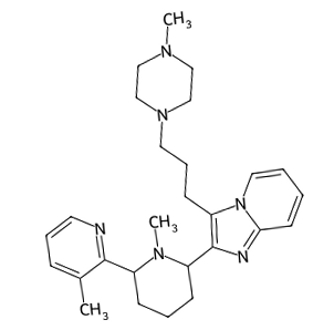 Cc1cccnc1C1CCCC(c2nc3ccccn3c2CCCN2CCN(C)CC2)N1C